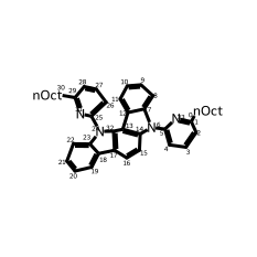 CCCCCCCCc1cccc(-n2c3ccccc3c3c2ccc2c4ccccc4n(-c4cccc(CCCCCCCC)n4)c23)n1